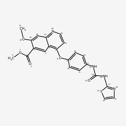 COC(=O)c1cc2c(Oc3ccc(NC(=O)Nc4nccs4)cc3)ccnc2cc1OC